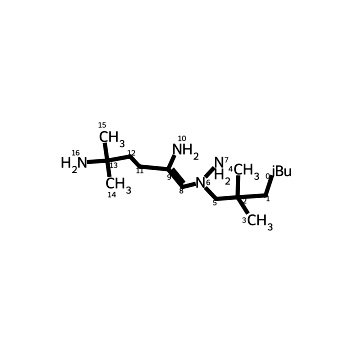 CCC(C)CC(C)(C)CN(N)/C=C(\N)CCC(C)(C)N